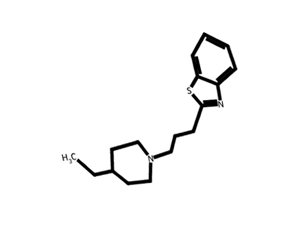 CCC1CCN(CCCc2nc3ccccc3s2)CC1